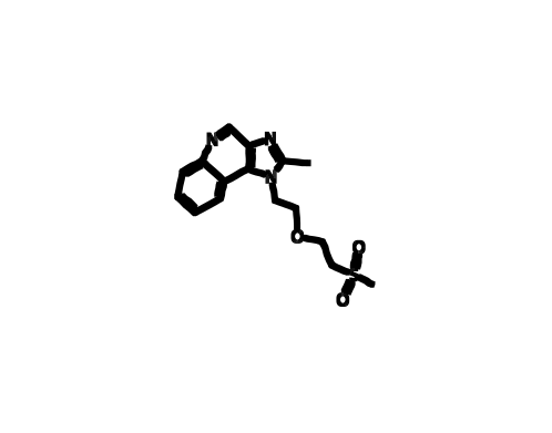 Cc1nc2cnc3ccccc3c2n1CCOCCS(C)(=O)=O